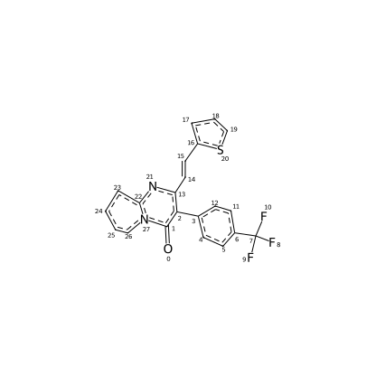 O=c1c(-c2ccc(C(F)(F)F)cc2)c(C=Cc2cccs2)nc2ccccn12